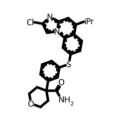 CC(C)c1cc2nc(Cl)cn2c2cc(Sc3cccc(C4(C(N)=O)CCOCC4)c3)ccc12